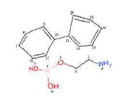 NCCOB(O)O.c1ccc(-c2ccccc2)cc1